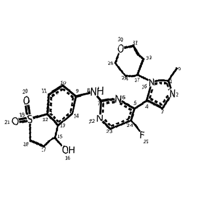 Cc1ncc(-c2nc(Nc3ccc4c(c3)C(O)CCS4(=O)=O)ncc2F)n1C1CCOCC1